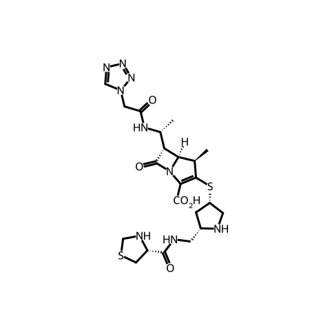 C[C@@H](NC(=O)Cn1cnnn1)[C@H]1C(=O)N2C(C(=O)O)=C(S[C@@H]3CN[C@H](CNC(=O)[C@@H]4CSCN4)C3)[C@H](C)[C@H]12